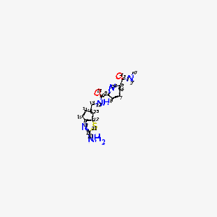 CN(C)C(=O)c1cccc(C(=O)NCc2ccc3nc(N)sc3c2)n1